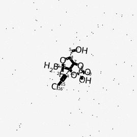 B[C@]1(F)O[C@H](CO)C2OP(=O)(O)O[C@]21C#CCl